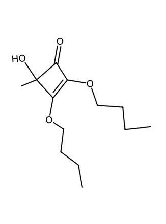 CCCCOC1=C(OCCCC)C(C)(O)C1=O